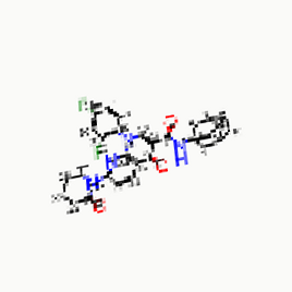 O=C(NC12CC3CC(C1)C(C3)C2)c1cn(-c2ccc(F)cc2F)c2nc(N3CCCCC3=O)ccc2c1=O